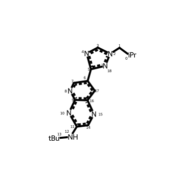 CC(C)Cn1cnc(-c2cnc3nc(NC(C)(C)C)cnc3c2)n1